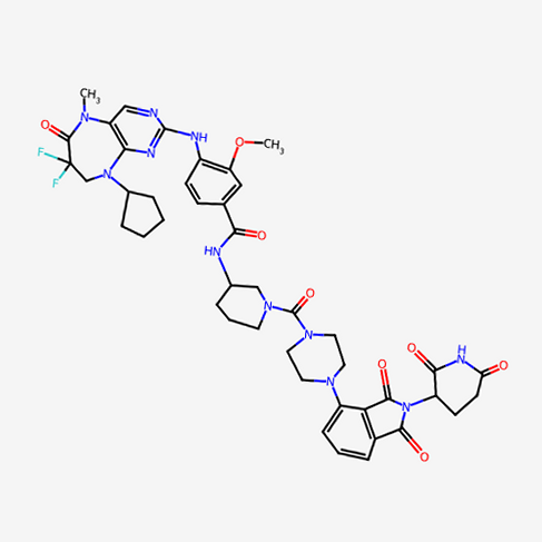 COc1cc(C(=O)NC2CCCN(C(=O)N3CCN(c4cccc5c4C(=O)N(C4CCC(=O)NC4=O)C5=O)CC3)C2)ccc1Nc1ncc2c(n1)N(C1CCCC1)CC(F)(F)C(=O)N2C